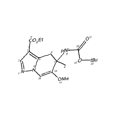 CCOC(=O)c1cnn2c1CC(C)(NC(=O)OC(C)(C)C)C(OC)=C2